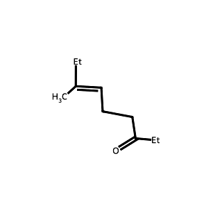 CCC(=O)CCC=C(C)CC